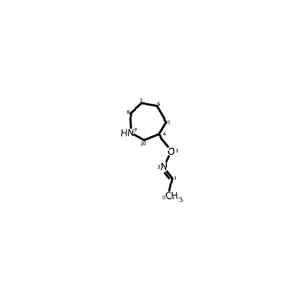 CC=NOC1CCCCNC1